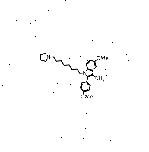 COc1ccc(-c2c(C)c3cc(OC)ccc3n2CCCCCCCCN2CCCC2)cc1